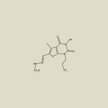 Cc1c(/C=N/NC(=O)O)sc2c1c(=O)n(C(C)C)c(=O)n2CCC(F)(F)F